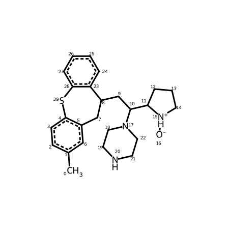 Cc1ccc2c(c1)CC(CC(C1CCC[NH+]1[O-])N1CCNCC1)c1ccccc1S2